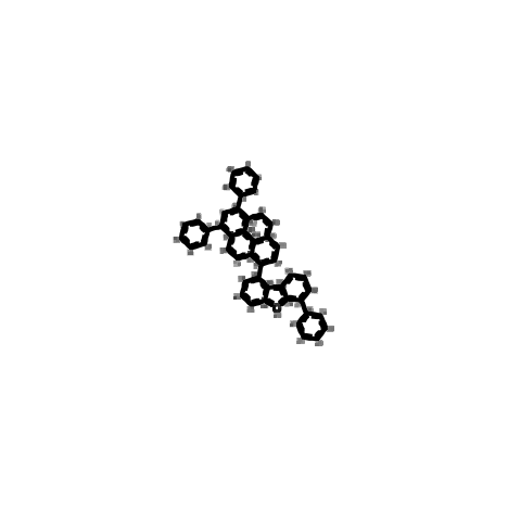 c1ccc(-c2cc(-c3ccccc3)c3ccc4c(-c5cccc6oc7c(-c8ccccc8)cccc7c56)ccc5ccc2c3c54)cc1